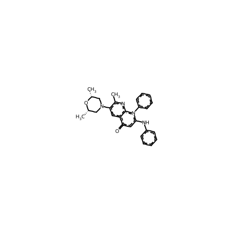 Cc1nc2c(cc1N1C[C@@H](C)O[C@@H](C)C1)c(=O)cc(Nc1ccccc1)n2-c1ccccc1